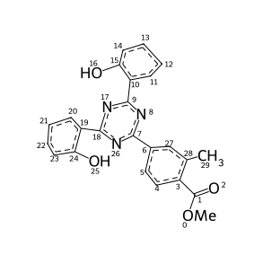 COC(=O)c1ccc(-c2nc(-c3ccccc3O)nc(-c3ccccc3O)n2)cc1C